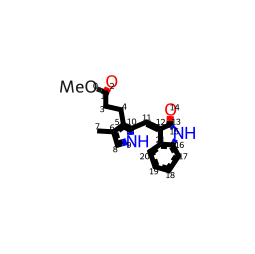 COC(=O)CCc1c(C)c[nH]c1/C=C1/C(=O)Nc2ccccc21